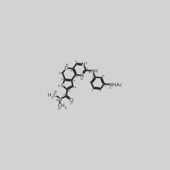 CC(=O)Nc1cccc(Nc2ncc3c(n2)-c2cc(C(=O)N(C)C)sc2CO3)c1